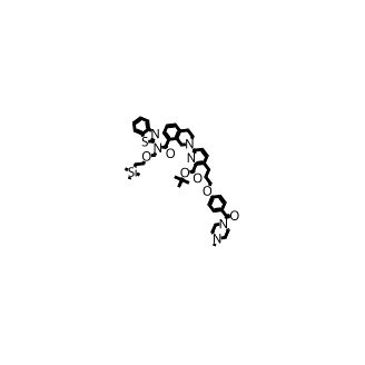 CN1CCN(C(=O)c2ccc(OCCCc3ccc(N4CCc5cccc(C(=O)N(COCC[Si](C)(C)C)c6nc7ccccc7s6)c5C4)nc3C(=O)OC(C)(C)C)cc2)CC1